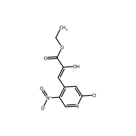 CCOC(=O)C(O)=Cc1cc(Cl)ncc1[N+](=O)[O-]